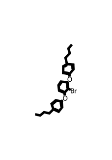 CCCCc1ccc(Oc2cccc(Oc3ccc(CCCC)cc3)c2Br)cc1